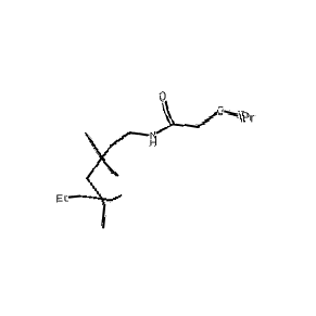 CCC(C)(C)CC(C)(C)CNC(=O)COC(C)C